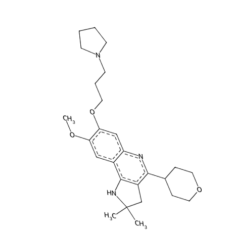 COc1cc2c3c(c(C4CCOCC4)nc2cc1OCCCN1CCCC1)CC(C)(C)N3